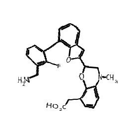 CN1CC(c2cc3cccc(-c4cccc(CN)c4F)c3o2)Oc2c(CC(=O)O)cccc21